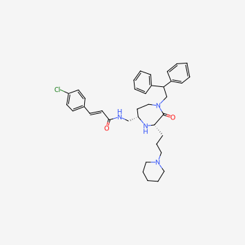 O=C(C=Cc1ccc(Cl)cc1)NC[C@@H]1CCN(CC(c2ccccc2)c2ccccc2)C(=O)[C@H](CCCN2CCCCC2)N1